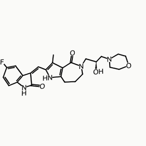 Cc1c(C=C2C(=O)Nc3ccc(F)cc32)[nH]c2c1C(=O)N(C[C@H](O)CN1CCOCC1)CCC2